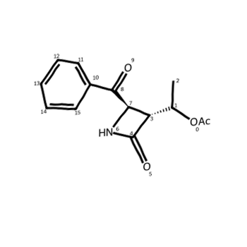 CC(=O)OC(C)[C@@H]1C(=O)N[C@H]1C(=O)c1ccccc1